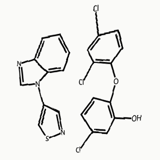 Oc1cc(Cl)ccc1Oc1ccc(Cl)cc1Cl.c1ccc2c(c1)ncn2-c1cnsc1